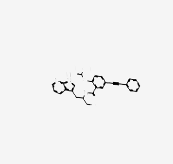 CC(C)Oc1ccc(C#Cc2ccccc2)cc1C(=O)NC(CO)Cc1c[nH]c2ncccc12